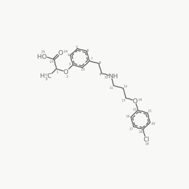 CC(Oc1cccc(CCNCCCOc2ccc(Cl)cc2)c1)C(=O)O